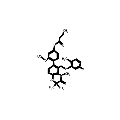 CCCC(=O)Oc1ccc(-c2ccc3c(c2COc2cc(F)ccc2C)N(C)C(=O)C(C)(C)N3)c(OC)c1